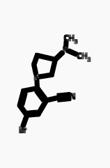 CN(C)C1CCN(c2ccc(Br)cc2C#N)C1